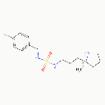 C[C@@]1(CCCNS(=O)(=O)NCc2ccc(I)cc2)CCCN1